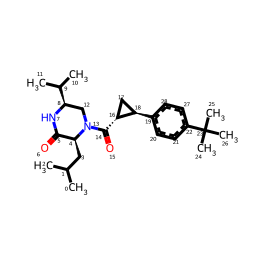 CC(C)C[C@H]1C(=O)N[C@@H](C(C)C)CN1C(=O)[C@@H]1C[C@H]1c1ccc(C(C)(C)C)cc1